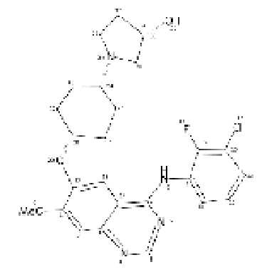 COc1cc2ncnc(Nc3cccc(Cl)c3F)c2cc1O[C@H]1CC[C@@H](N2CC[C@H](O)C2)CC1